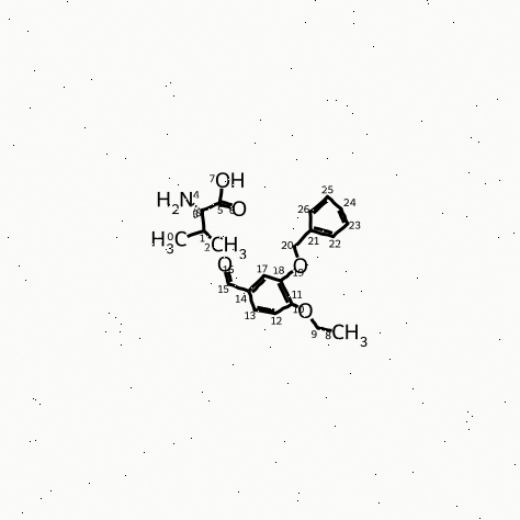 CC(C)[C@H](N)C(=O)O.CCOc1ccc(C=O)cc1OCc1ccccc1